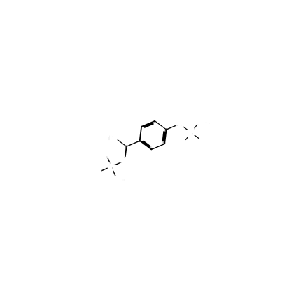 CCCC(O[Si](C)(C)C(C)(C)C)c1ccc(O[Si](C)(C)C(C)(C)C)cc1